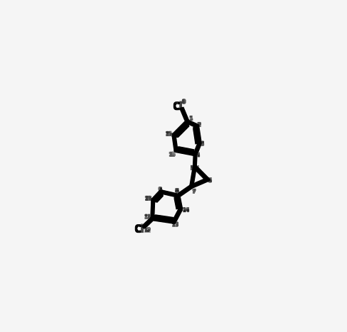 Clc1ccc([C]2CC2c2ccc(Cl)cc2)cc1